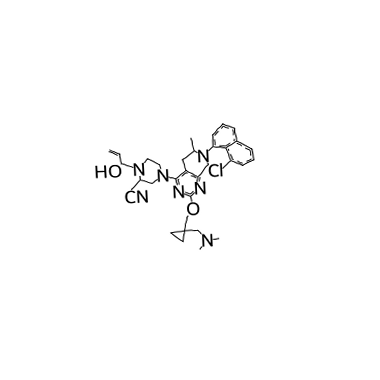 C=CC(O)N1CCN(c2nc(OCC3(CN(C)C)CC3)nc3c2CC(C)N(c2cccc4cccc(Cl)c24)C3)CC1CC#N